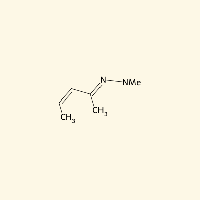 C/C=C\C(C)=N\NC